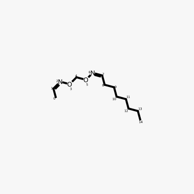 C/C=N\OCO/N=C\CCCCCCC